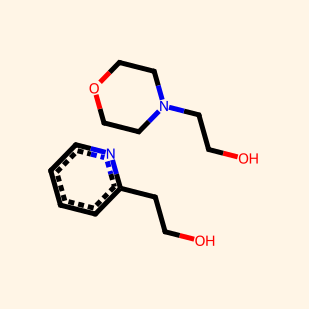 OCCN1CCOCC1.OCCc1ccccn1